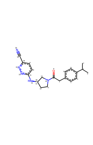 CC(C)c1ccc(CC(=O)N2CC[C@@H](Nc3ccc(C#N)nn3)C2)cc1